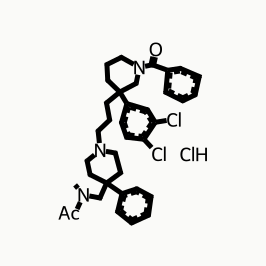 CC(=O)N(C)CC1(c2ccccc2)CCN(CCCC2(c3ccc(Cl)c(Cl)c3)CCCN(C(=O)c3ccccc3)C2)CC1.Cl